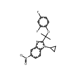 CC(C)(Oc1ccc(F)cc1F)c1nc2cc([N+](=O)[O-])ccc2n1C1CC1